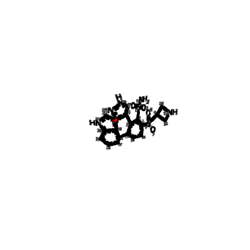 NS(=O)(=O)c1c(S(=O)(=O)C2CNC2)ccc(-c2cccc3[nH]cnc23)c1-c1nn[nH]n1